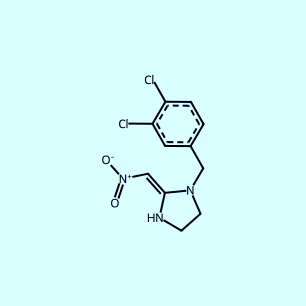 O=[N+]([O-])C=C1NCCN1Cc1ccc(Cl)c(Cl)c1